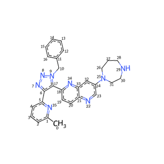 Cc1cccc(-c2nnn(Cc3ccccc3)c2-c2ccc3ncc(N4CCCNCC4)cc3n2)n1